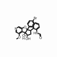 COc1cncc2c1C1(O)[C@H](O)CC(c3ccccc3NC=O)C1(c1ccc(Br)cc1)O2